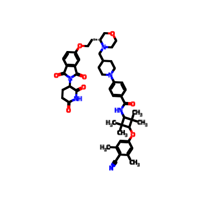 Cc1cc(OC2C(C)(C)C(NC(=O)c3ccc(N4CCC(CN5CCOC[C@H]5CCOc5ccc6c(c5)C(=O)N(C5CCC(=O)NC5=O)C6=O)CC4)cc3)C2(C)C)cc(C)c1C#N